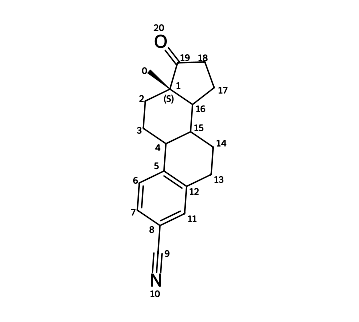 C[C@]12CCC3c4ccc(C#N)cc4CCC3C1CCC2=O